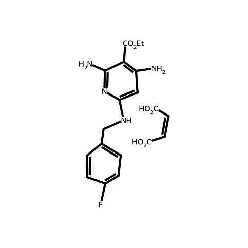 CCOC(=O)c1c(N)cc(NCc2ccc(F)cc2)nc1N.O=C(O)/C=C\C(=O)O